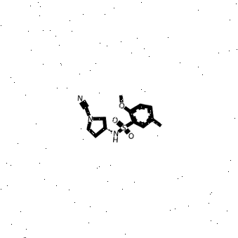 COc1ccc(C)cc1S(=O)(=O)N[C@@H]1CCN(C#N)C1